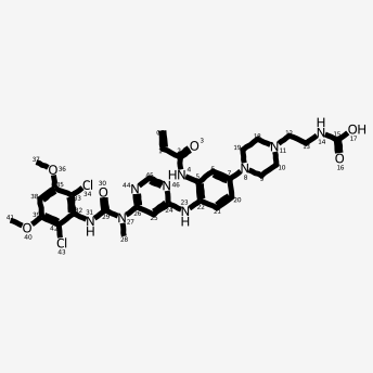 C=CC(=O)Nc1cc(N2CCN(CCNC(=O)O)CC2)ccc1Nc1cc(N(C)C(=O)Nc2c(Cl)c(OC)cc(OC)c2Cl)ncn1